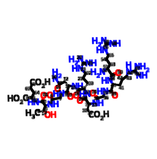 C[C@@H](O)[C@H](NC(=O)CNC(=O)[C@H](CC(N)=O)NC(=O)[C@H](CCCNC(=N)N)NC(=O)[C@H](CC(=O)O)NC(=O)CNC(=O)[C@H](CCCNC(=N)N)NC(=O)[C@@H](N)CCCNC(=N)N)C(=O)N[C@@H](CCC(=O)O)C(=O)O